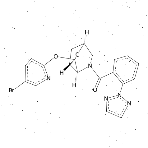 O=C(c1ccccc1-n1nccn1)N1C[C@@H]2CC[C@H]1[C@H](Oc1ccc(Br)cn1)C2